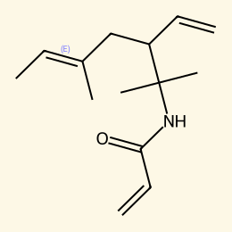 C=CC(=O)NC(C)(C)C(C=C)C/C(C)=C/C